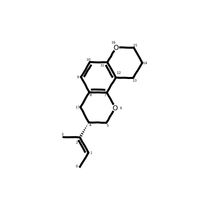 C/C=C(\C)[C@H]1COc2c(ccc3c2CCCO3)C1